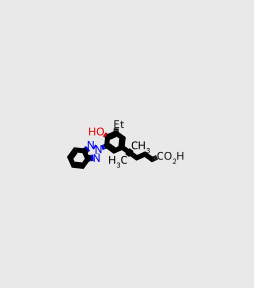 CCc1cc(C(C)(C)CCCC(=O)O)cc(-n2nc3ccccc3n2)c1O